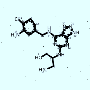 CCC(CO)Nc1nc(NCc2ccc(Cl)c(N)c2)c2nn[nH]c2n1